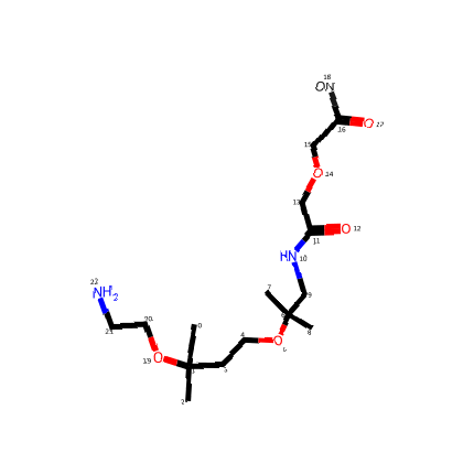 CC(C)(CCOC(C)(C)CNC(=O)COCC(=O)N=O)OCCN